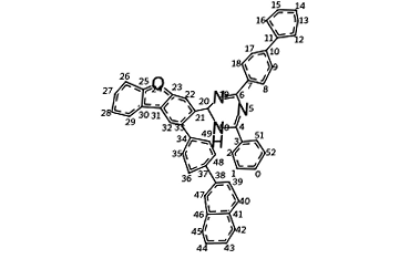 c1ccc(C2=NC(c3ccc(-c4ccccc4)cc3)=NC(c3cc4oc5ccccc5c4cc3-c3ccc(-c4ccc5ccccc5c4)cc3)N2)cc1